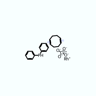 C1=C\CC/C=C\CC/1.[O-][Cl+3]([O-])([O-])[O-].[Rh+].c1ccc(Pc2ccccc2)cc1